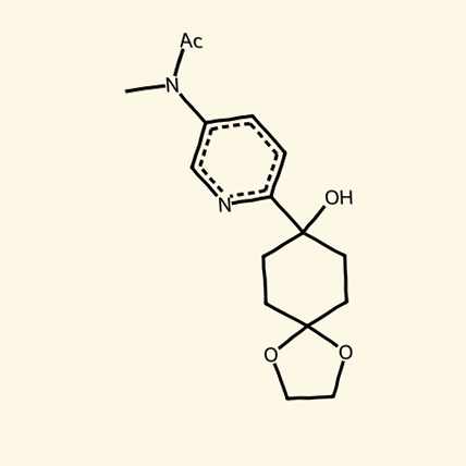 CC(=O)N(C)c1ccc(C2(O)CCC3(CC2)OCCO3)nc1